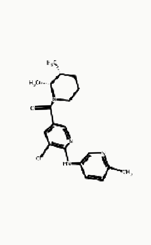 Cc1ccc(Nc2ncc(C(=O)N3CCC[C@@H](C)[C@H]3C)cc2Cl)cn1